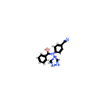 N#Cc1ccc(N(C(Br)c2ccccc2)n2cnnc2)cc1